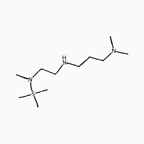 CN(C)CCCNCCN(C)S(C)(C)C